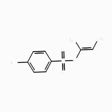 Cc1ccc(S(=O)(=O)O/C(C#N)=C/C#N)cc1